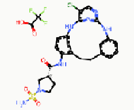 NS(=O)(=O)N1CC[C@@H](C(=O)Nc2ccc3cc2CCc2cccc(c2)Nc2ncc(Cl)c(n2)N3)C1.O=C(O)C(F)(F)F